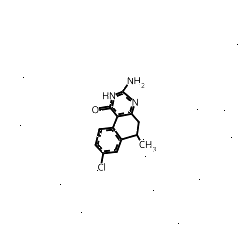 CC1Cc2nc(N)[nH]c(=O)c2-c2ccc(Cl)cc21